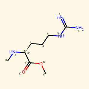 CN[C@H](CCCNC(=N)N)C(=O)OC